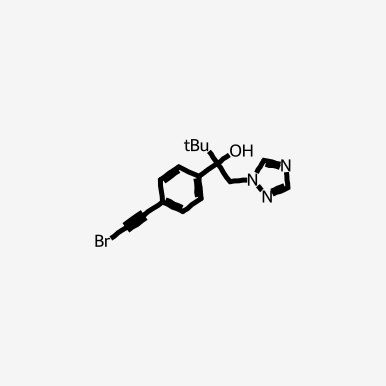 CC(C)(C)C(O)(Cn1cncn1)c1ccc(C#CBr)cc1